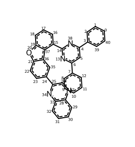 c1ccc(-c2cc(-c3ccccc3)nc(-c3cccc4oc5ccc(-c6cnc7ccccc7n6)cc5c34)n2)cc1